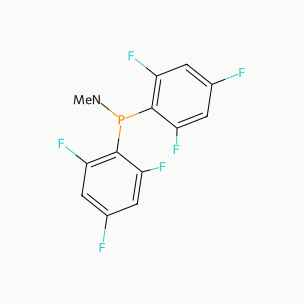 CNP(c1c(F)cc(F)cc1F)c1c(F)cc(F)cc1F